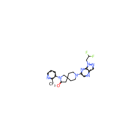 O=C1CC2(CCN(c3cnc4cnn(CC(F)F)c4n3)CC2)CN1c1cccnc1C(F)(F)F